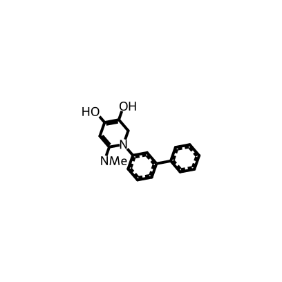 CNC1=CC(O)=C(O)CN1c1cccc(-c2ccccc2)c1